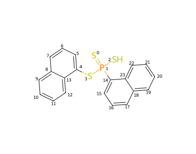 S=P(S)(Sc1cccc2ccccc12)c1cccc2ccccc12